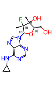 C[C@]1(F)[C@H](n2cnc3c(NC4CC4)ncnc32)O[C@H](CO)[C@@]1(C)O